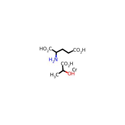 CC(O)C(=O)O.NC(CCC(=O)O)C(=O)O.[Cr]